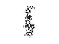 COc1ccc(CNS(=O)(=O)[C@H]2CC[C@H](Nc3c4c(nc5ccnn35)C3(CCCC3)C(C)C4)CC2)cc1